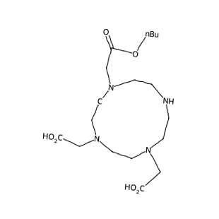 CCCCOC(=O)CN1CCNCCN(CC(=O)O)CCN(CC(=O)O)CC1